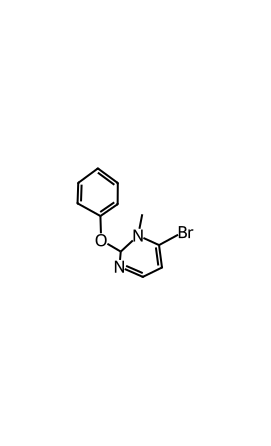 CN1C(Br)=CC=NC1Oc1ccccc1